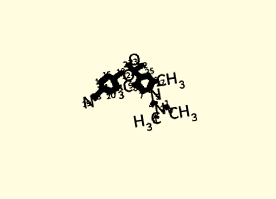 CCN(C)C=Nc1cc(C)c(C2(OCc3ccc(C#N)cc3)COC2)cc1C